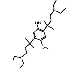 CCP(CC)CCC(C)(C)c1cc(OC)c(C(C)(C)CCP(CC)CC)cc1O